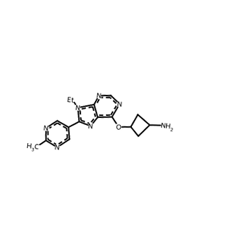 CCn1c(-c2cnc(C)nc2)nc2c(OC3CC(N)C3)ncnc21